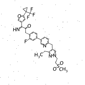 CCc1nn(CCS(C)(=O)=O)cc1Cc1ccc(-c2ccc(CC(=O)C(=N)c3coc(C4(C(F)(F)F)CC4)c3)c(F)c2)cn1